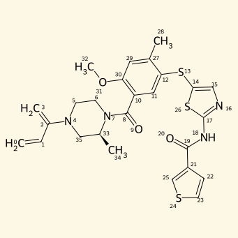 C=CC(=C)N1CCN(C(=O)c2cc(Sc3cnc(NC(=O)c4ccsc4)s3)c(C)cc2OC)[C@@H](C)C1